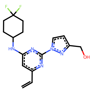 C=Cc1cc(NC2CCC(F)(F)CC2)nc(-n2ccc(CO)n2)n1